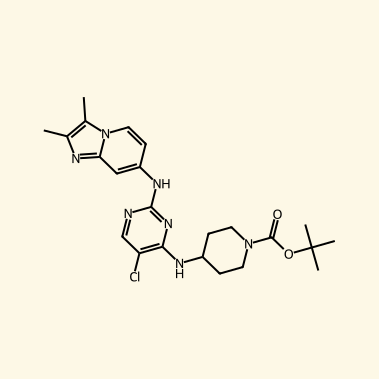 Cc1nc2cc(Nc3ncc(Cl)c(NC4CCN(C(=O)OC(C)(C)C)CC4)n3)ccn2c1C